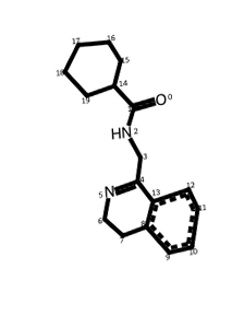 O=C(NCC1=NCCc2ccccc21)C1CCCCC1